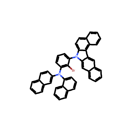 Brc1c(N(c2ccc3ccccc3c2)c2cccc3ccccc23)cccc1-n1c2cc3ccccc3cc2c2c3ccccc3ccc21